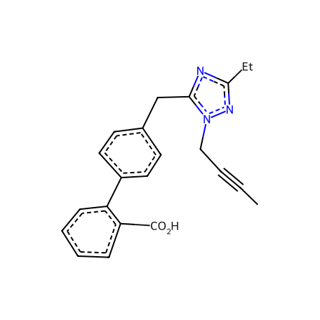 CC#CCn1nc(CC)nc1Cc1ccc(-c2ccccc2C(=O)O)cc1